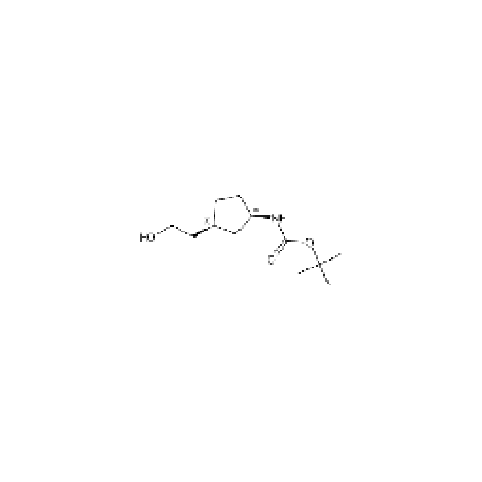 CC(C)(C)OC(=O)N[C@@H]1CC[C@H](CCO)C1